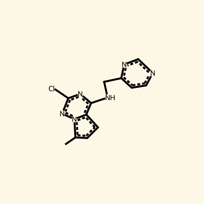 Cc1ccc2c(NCc3ccncn3)nc(Cl)nn12